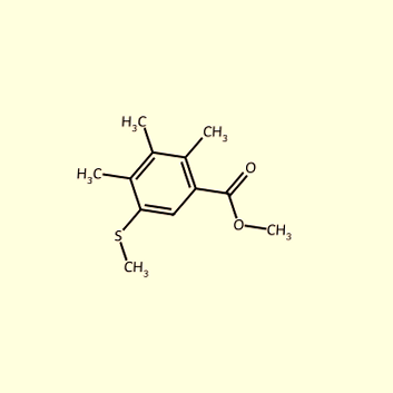 COC(=O)c1cc(SC)c(C)c(C)c1C